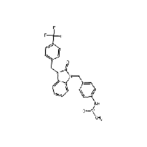 C[S+]([O-])Nc1ccc(Cn2c(=O)n(Cc3ccc(C(F)(F)F)cc3)c3ccccc32)cc1